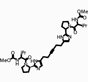 COC(=O)NC(C(=O)N1CCCC1c1ncc(CCC#CCCc2cnc([C@H]3CCCN3C(=O)C(NC(=O)OC)C(C)C)[nH]2)[nH]1)C(C)C